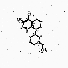 CCN1CCC[C@@H](N2CCCc3c2nnc(Cl)c3C)C1